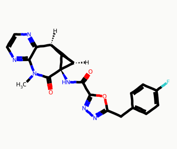 CN1C(=O)[C@]2(NC(=O)c3nnc(Cc4ccc(F)cc4)o3)C3[C@@H](c4nccnc41)[C@H]32